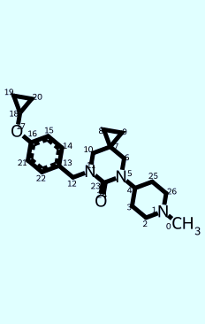 CN1CCC(N2CC3(CC3)CN(Cc3ccc(OC4CC4)cc3)C2=O)CC1